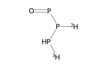 [2H]P(P=O)P[3H]